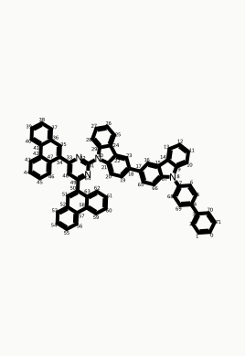 c1ccc(-c2ccc(-n3c4ccccc4c4cc(-c5ccc6c(c5)c5ccccc5n6-c5nc(-c6cc7ccccc7c7ccccc67)cc(-c6cc7ccccc7c7ccccc67)n5)ccc43)cc2)cc1